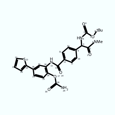 CNC(=O)C(NC(=O)OC(C)(C)C)c1ccc(C(=O)Nc2cc(-c3cccs3)ccc2OC(N)=O)cc1